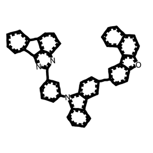 c1cc(-c2nc3c4c(cccc4n2)-c2ccccc2-3)cc(-n2c3ccccc3c3cc(-c4ccc5oc6ccc7ccccc7c6c5c4)ccc32)c1